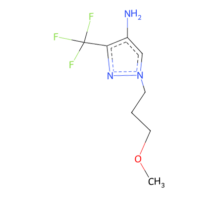 COCCCn1cc(N)c(C(F)(F)F)n1